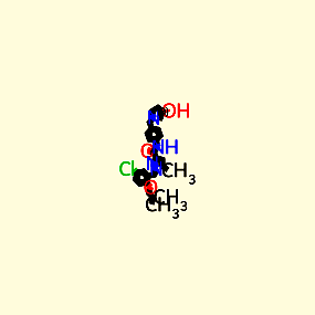 Cc1cc(C(=O)Nc2ccc(CN3CC[C@@H](O)C3)cc2)nn1Cc1cc(Cl)ccc1OCC(C)C